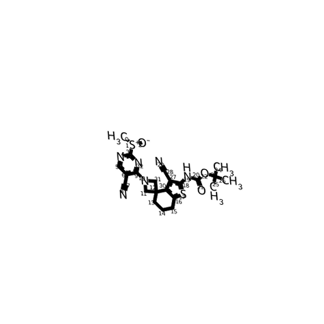 C[S+]([O-])c1ncc(C#N)c(N2CC3(CCCc4sc(NC(=O)OC(C)(C)C)c(C#N)c43)C2)n1